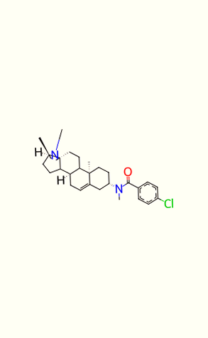 C[C@H]1[C@H]2CCC3[C@@H]4CC=C5C[C@@H](N(C)C(=O)c6ccc(Cl)cc6)CC[C@]5(C)C4CC[C@@]32CN1C